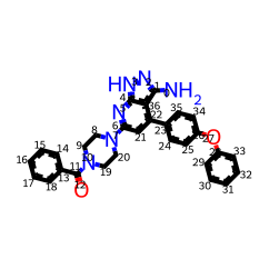 Nc1n[nH]c2nc(N3CCN(C(=O)c4ccccc4)CC3)cc(-c3ccc(Oc4ccccc4)cc3)c12